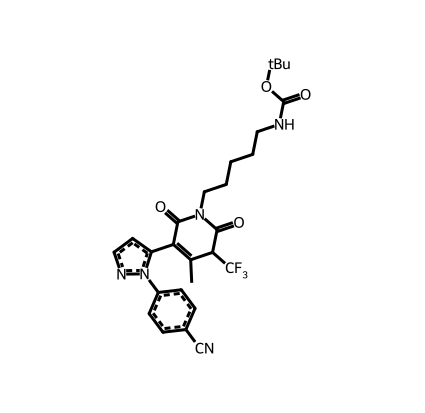 CC1=C(c2ccnn2-c2ccc(C#N)cc2)C(=O)N(CCCCCNC(=O)OC(C)(C)C)C(=O)C1C(F)(F)F